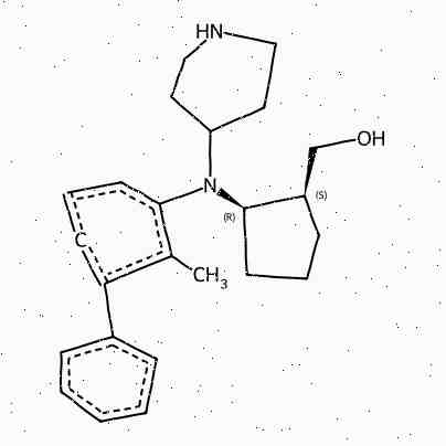 Cc1c(-c2ccccc2)cccc1N(C1CCNCC1)[C@@H]1CCC[C@@H]1CO